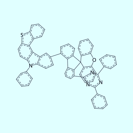 c1ccc(-c2nc(-c3ccccc3)nc(-c3cccc4c3C3(c5ccccc5Oc5ccccc53)c3cccc(-c5ccc6c(c5)c5c7c(ccc5n6-c5ccccc5)sc5ccccc57)c3-4)n2)cc1